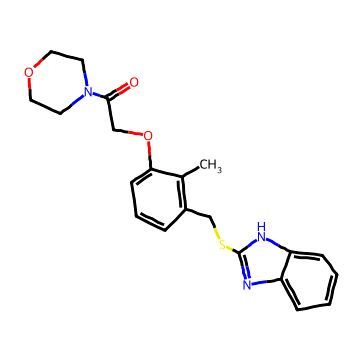 Cc1c(CSc2nc3ccccc3[nH]2)cccc1OCC(=O)N1CCOCC1